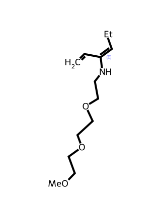 C=C/C(=C\CC)NCCOCCOCCOC